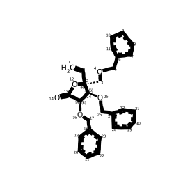 C=C[C@]1(COCc2ccccc2)OC(=O)[C@H](OCc2ccccc2)[C@@H]1OCc1ccccc1